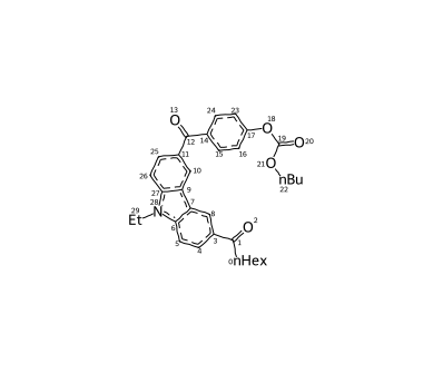 CCCCCCC(=O)c1ccc2c(c1)c1cc(C(=O)c3ccc(OC(=O)OCCCC)cc3)ccc1n2CC